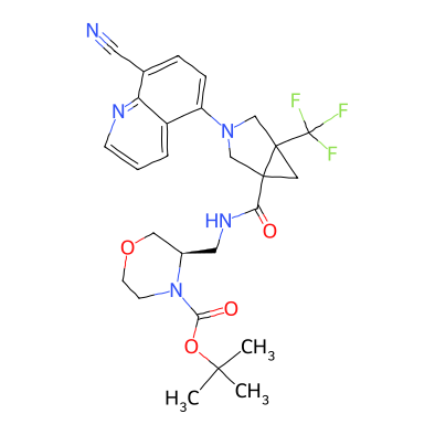 CC(C)(C)OC(=O)N1CCOC[C@H]1CNC(=O)C12CN(c3ccc(C#N)c4ncccc34)CC1(C(F)(F)F)C2